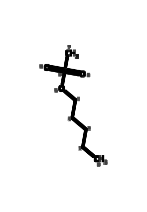 CCCCCOS(C)(=O)=O